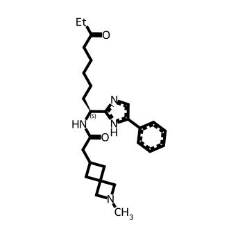 CCC(=O)CCCCC[C@H](NC(=O)CC1CC2(C1)CN(C)C2)c1ncc(-c2ccccc2)[nH]1